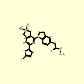 COC(=O)Cc1ccc2c(c1)CCN2c1nc(-c2ccc(Cl)s2)nc2c1CS(O)(O)C2